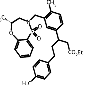 CCOC(=O)CC(CCc1ccc(C)cc1)c1ccc(C)c(CN2C[C@@H](C)Oc3ccccc3S2(=O)=O)c1